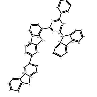 c1ccc(-c2nc(-c3cccc4c3oc3cc(-c5ccc6sc7ccccc7c6c5)ccc34)nc(-n3c4ccccc4c4ccccc43)n2)cc1